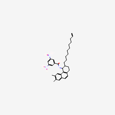 C=CCCCCCCCCCC1CCc2ccc3cc(C)c(C)cc3c2C1NC(=O)c1cc([N+](=O)[O-])cc([N+](=O)[O-])c1